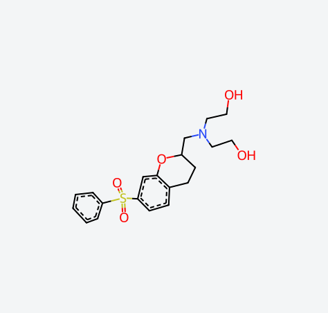 O=S(=O)(c1ccccc1)c1ccc2c(c1)OC(CN(CCO)CCO)CC2